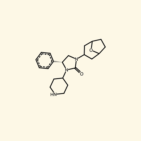 O=C1N(C2CC3CCC(C2)O3)C[C@@H](c2ccccc2)N1C1CCNCC1